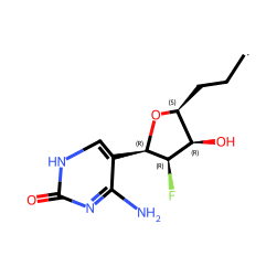 [CH2]CC[C@@H]1O[C@H](c2c[nH]c(=O)nc2N)[C@H](F)[C@@H]1O